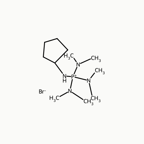 CN(C)[P+](NC1CCCC1)(N(C)C)N(C)C.[Br-]